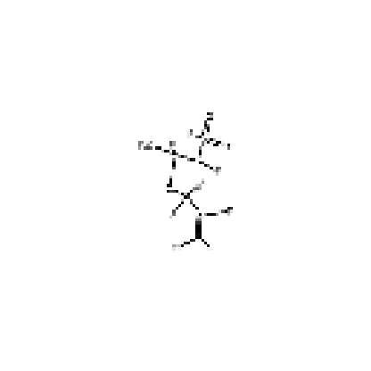 O=S(=O)(F)C(F)(F)C(F)(OC(F)(F)C(F)=C(F)F)C(F)(F)F